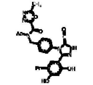 CC(=O)N(Cc1ccc(N2C(=C=O)NN=C2c2cc(C(C)C)c(O)cc2O)cc1)C(=O)c1nnc(C)o1